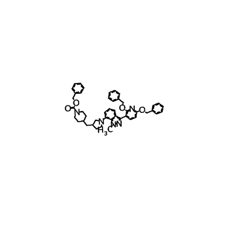 Cn1nc(-c2ccc(OCc3ccccc3)nc2OCc2ccccc2)c2cccc(N3CCC(CC4CCN(C(=O)OCc5ccccc5)CC4)C3)c21